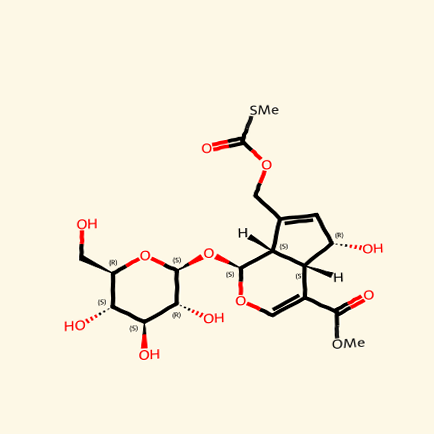 COC(=O)C1=CO[C@@H](O[C@@H]2O[C@H](CO)[C@@H](O)[C@H](O)[C@H]2O)[C@@H]2C(COC(=O)SC)=C[C@H](O)[C@H]12